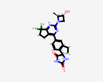 C[C@H]1[C@H](O)CN1c1nc(-c2ccc3c(c2)CC[C@@]32NC(=O)NC2=O)c2c(n1)C(F)(F)CC2